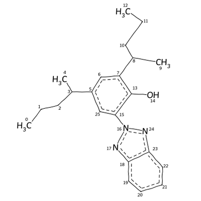 CCCC(C)c1cc(C(C)CCC)c(O)c(-n2nc3ccccc3n2)c1